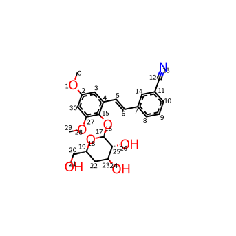 COc1cc(/C=C/c2cccc(C#N)c2)c(O[C@@H]2O[C@H](CO)C[C@H](O)[C@H]2O)c(OC)c1